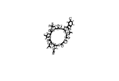 CC(C)C[C@@H]1NC(=O)[C@H](Cc2csc3ccc(Cl)cc23)N(C)C(=O)[C@H](CC(F)(F)F)NC(=O)[C@H](CC(C)C)N(C)C(=O)[C@H](CC(C)C)NC(=O)[C@@H](CCC#N)OC(=O)[C@H](C)N(C)C1=O